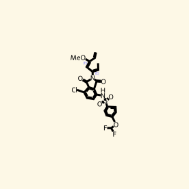 C=C/C(=C\C(=C/C)N1C(=O)c2c(Cl)ccc(NS(=O)(=O)c3ccc(OC(F)F)cc3)c2C1=O)OC